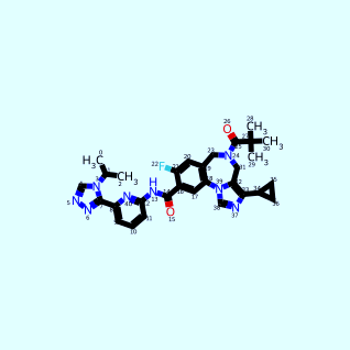 CC(C)n1cnnc1-c1cccc(NC(=O)c2cc3c(cc2F)CN(C(=O)C(C)(C)C)Cc2c(C4CC4)ncn2-3)n1